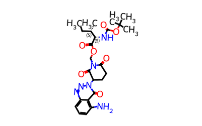 CC[C@H](C)[C@H](NC(=O)OC(C)(C)C)C(=O)OCN1C(=O)CCC(n2nnc3cccc(N)c3c2=O)C1=O